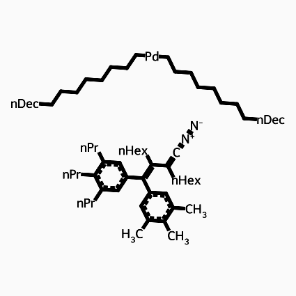 CCCCCCC(=C=[N+]=[N-])C(CCCCCC)=C(c1cc(C)c(C)c(C)c1)c1cc(CCC)c(CCC)c(CCC)c1.CCCCCCCCCCCCCCCCC[CH2][Pd][CH2]CCCCCCCCCCCCCCCCC